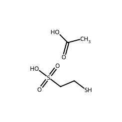 CC(=O)O.O=S(=O)(O)CCS